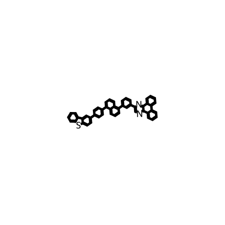 c1cc(-c2cnc3c4ccccc4c4ccccc4c3n2)cc(-c2cccc3c(-c4ccc(-c5ccc6sc7ccccc7c6c5)cc4)cccc23)c1